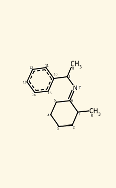 CC1CCCC/C1=N\C(C)c1ccccc1